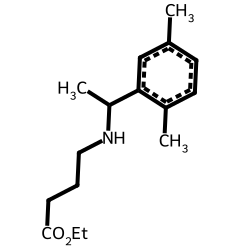 CCOC(=O)CCCNC(C)c1cc(C)ccc1C